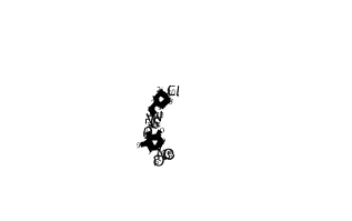 Cc1cc([N+](=O)[O-])cc(C)c1Oc1nc(Cc2ccc(Cl)cc2)ns1